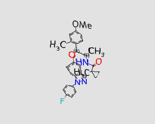 COc1ccc([C@@H](Oc2ccc3c(cnn3-c3ccc(F)cc3)c2)[C@H](C)NC(=O)C2(C)CC2)c(C)c1